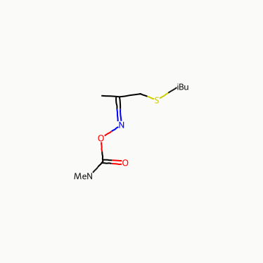 CCC(C)SCC(C)=NOC(=O)NC